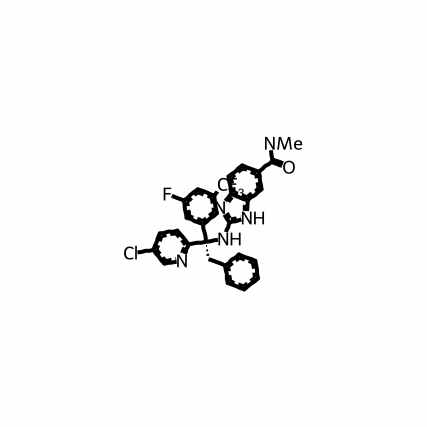 CNC(=O)c1ccc2nc(N[C@](Cc3ccccc3)(c3cc(F)cc(C(F)(F)F)c3)c3ccc(Cl)cn3)[nH]c2c1